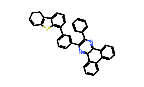 C1=Cc2sc3c(-c4cccc(-c5nc6c7ccccc7c7ccccc7c6nc5-c5ccccc5)c4)cccc3c2CC1